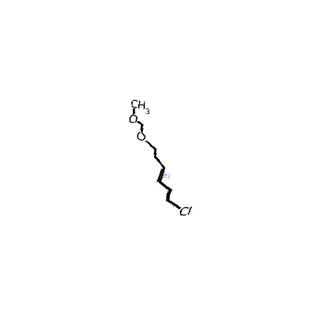 COCOCC/C=C/CCCl